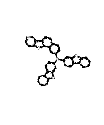 c1ccc2c(c1)oc1cc(N(c3ccc4c(c3)oc3ccccc34)c3ccc4ccc5c6cnccc6oc5c4c3)ccc12